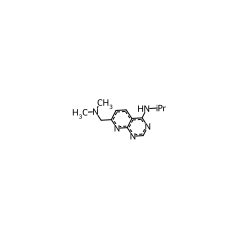 CC(C)Nc1ncnc2nc(CN(C)C)ccc12